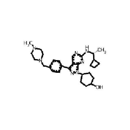 C[C@@H](Nc1ncc2c(-c3ccc(CN4CCN(C)CC4)cc3)nn(C3CCC(O)CC3)c2n1)C1CCC1